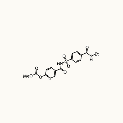 CCNC(=O)c1ccc(S(=O)(=O)NC(=O)c2ccc(OC(=O)OC)nc2)cc1